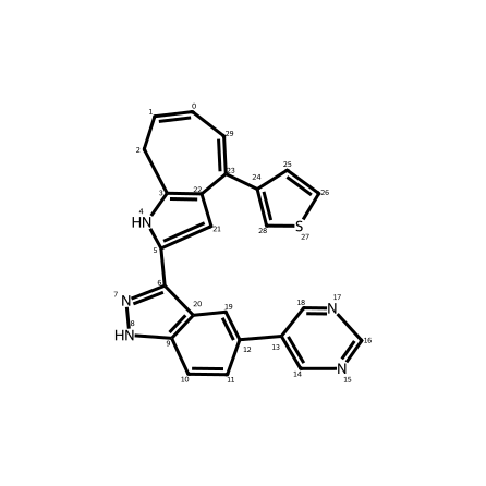 C1=CCc2[nH]c(-c3n[nH]c4ccc(-c5cncnc5)cc34)cc2C(c2ccsc2)=C1